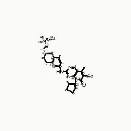 CC(=O)c1c(C)c2cnc(Nc3ccc4c(n3)CC[C@H](CO[Si](C)(C)C(C)(C)C)C4)nc2n(C2CCCC2)c1=O